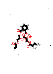 C=CC(=O)OCC(O)COC(=O)c1ccccc1C(=O)OCC(O)COC(=O)C(CC(C)C)C(C)C